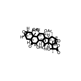 CC(=O)O[C@H]1C2C([C@@H](O)C(=O)[C@H]3C[C@@H]4O[C@@H]4[C@H](OC(C)=O)[C@]23C)[C@@H]2C(=O)[C@@H]3[C@H]([C@H](C)[C@H]4O[C@]45OC(=O)[C@@](C)(O)[C@]35C)[C@@]2(C)[C@H]1OC(C)=O